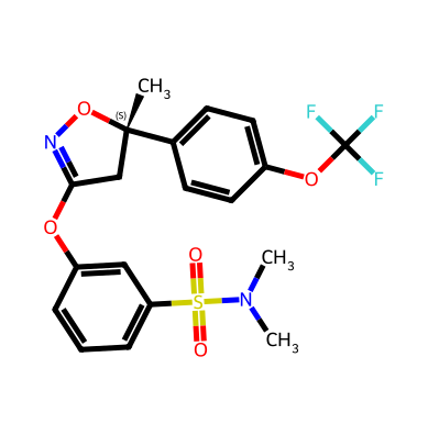 CN(C)S(=O)(=O)c1cccc(OC2=NO[C@](C)(c3ccc(OC(F)(F)F)cc3)C2)c1